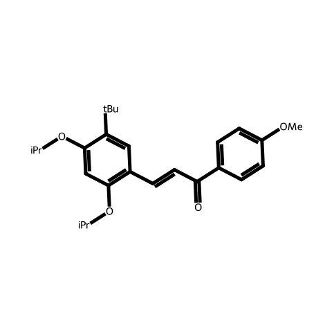 COc1ccc(C(=O)C=Cc2cc(C(C)(C)C)c(OC(C)C)cc2OC(C)C)cc1